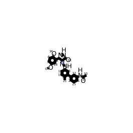 COc1ccc(OC)c(C2=NNC(=O)/C2=N\Nc2ccc(C)c(-c3cccc(NC(C)=O)c3)c2)c1